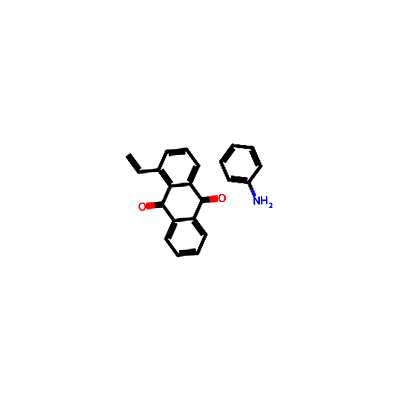 C=Cc1cccc2c1C(=O)c1ccccc1C2=O.Nc1ccccc1